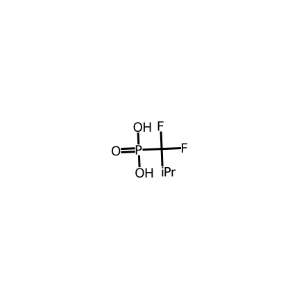 CC(C)C(F)(F)P(=O)(O)O